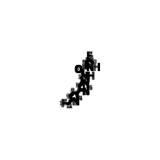 O=C(NCc1cc(-c2ccc(CF)nc2)ncn1)[C@@H]1C[C@@H](F)CN1